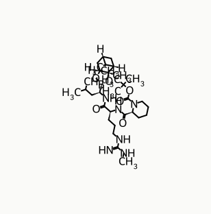 CNC(=N)NCCC[C@H](NC(=O)[C@@H]1CCCCN1C(=O)OC(C)(C)C)C(=O)N[C@@H](CC(C)C)B1O[C@@H]2C[C@@H]3C[C@@H](C3(C)C)[C@]2(C)O1